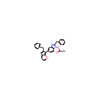 CCCC(=O)On1c(Cc2ccccc2)nc2cc(-c3c(Cc4ccccc4)cc4cccoc3-4)ccc21